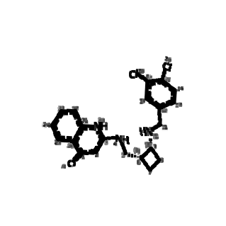 O=c1cc(NC[C@H]2CC[C@H]2NCc2ccc(Cl)c(Cl)c2)[nH]c2ccccc12